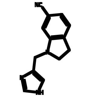 N#Cc1ccc2c(c1)N(Cc1c[nH]cn1)CC2